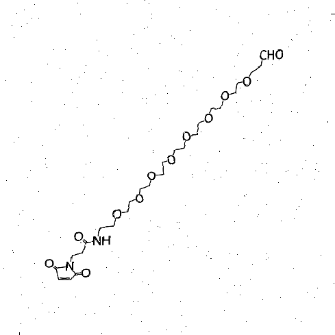 O=CCCOCCOCCOCCOCCOCCOCCOCCOCCNC(=O)CCN1C(=O)C=CC1=O